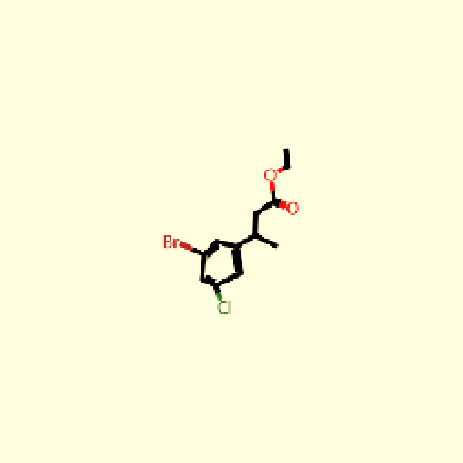 CCOC(=O)CC(C)c1cc(Cl)cc(Br)c1